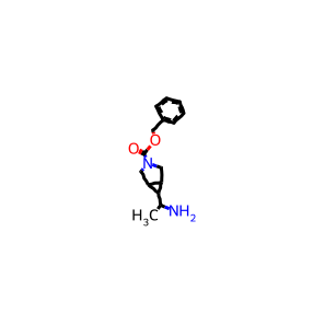 CC(N)C1C2CN(C(=O)OCc3ccccc3)CC21